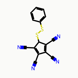 N#CC1=C(C#N)C(SSc2ccccc2)C(C#N)=C1C#N